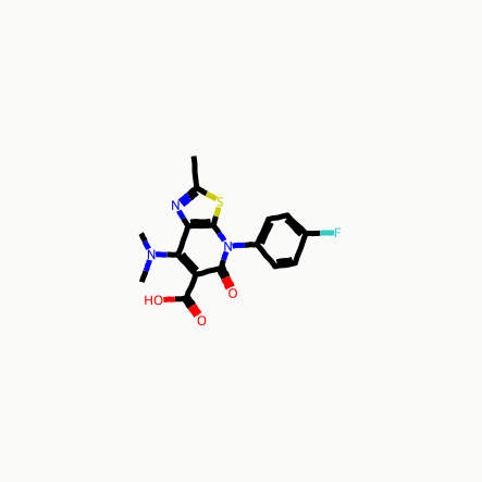 Cc1nc2c(N(C)C)c(C(=O)O)c(=O)n(-c3ccc(F)cc3)c2s1